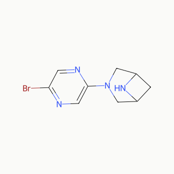 Brc1cnc(N2CC3CC(C2)N3)cn1